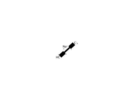 [C-]#CC#C.[Na+]